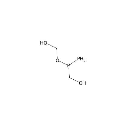 OCOP(P)CO